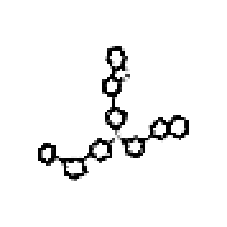 c1ccc(-c2cccc(-c3ccc(N(c4ccc(-c5ccc6c(c5)sc5ccccc56)cc4)c4cccc(-c5ccc6ccccc6c5)c4)cc3)c2)cc1